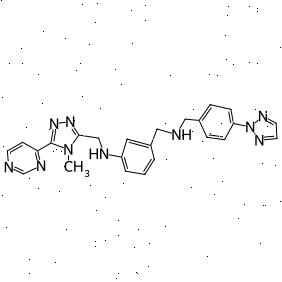 Cn1c(CNc2cccc(CNCc3ccc(-n4nccn4)cc3)c2)nnc1-c1ccncn1